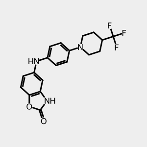 O=c1[nH]c2cc(Nc3ccc(N4CCC(C(F)(F)F)CC4)cc3)ccc2o1